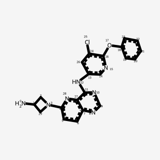 NC1CN(c2ccc3ncnc(Nc4cnc(Oc5ccccc5)c(Cl)c4)c3n2)C1